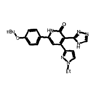 CCCCOc1ccc(-c2cc(-c3ccn(CC)n3)c(-c3nnc[nH]3)c(=O)[nH]2)cc1